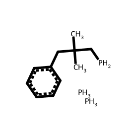 CC(C)(CP)Cc1ccccc1.P.P